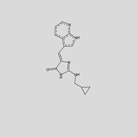 O=C1NC(NCC2CC2)=N/C1=C\c1c[nH]c2ncccc12